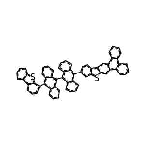 c1ccc2c(c1)sc1c(-c3c4ccccc4c(-c4c5ccccc5c(-c5ccc6c(c5)sc5cc7c8ccccc8c8ccccc8c7cc56)c5ccccc45)c4ccccc34)cccc12